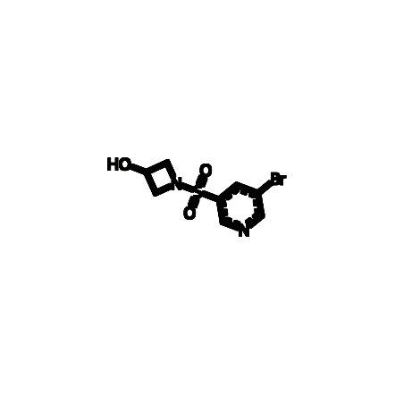 O=S(=O)(c1cncc(Br)c1)N1CC(O)C1